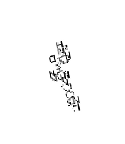 Nc1nccc(Sc2cnc(N3CCC4(CC3)Cc3nc(Cl)sc3C4)n3ccnc23)c1Cl